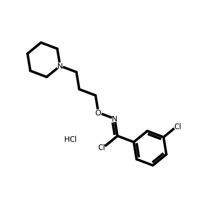 Cl.ClC(=NOCCCN1CCCCC1)c1cccc(Cl)c1